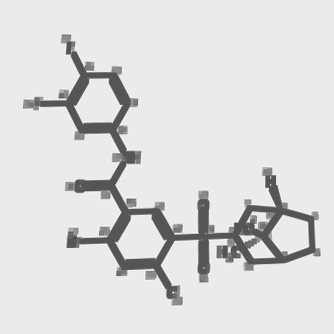 C[C@@]1(O)C2CC[C@H]1CC(S(=O)(=O)c1cc(C(=O)Nc3ccc(F)c(F)c3)c(Br)cc1Cl)C2